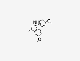 COc1ccc(C2(N)CC(C)c3cc(OC)ccc32)cc1